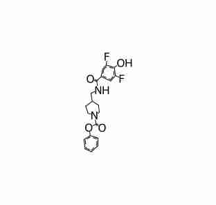 O=C(NCC1CCN(C(=O)Oc2ccccc2)CC1)c1cc(F)c(O)c(F)c1